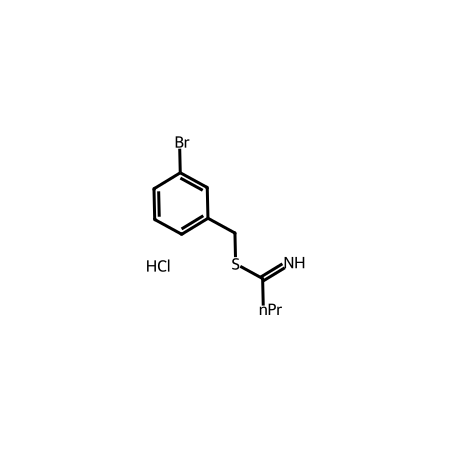 CCCC(=N)SCc1cccc(Br)c1.Cl